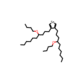 CCCCCCC(CCCc1c[se]cc1CCCC(CCCCCC)OCCCC)OCCCC